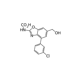 O=C(O)Nc1nc2c(-c3cccc(Cl)c3)cc(CO)cc2o1